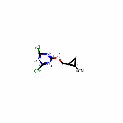 N#C[C@@H]1CC1COc1nc(Cl)nc(Cl)n1